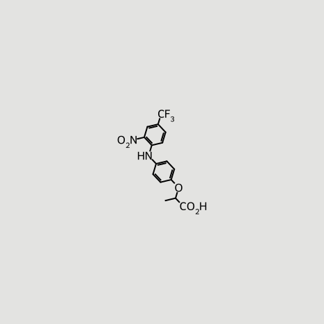 CC(Oc1ccc(Nc2ccc(C(F)(F)F)cc2[N+](=O)[O-])cc1)C(=O)O